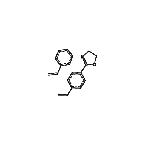 C=Cc1ccc(C2=NCCO2)cc1.C=Cc1ccccc1